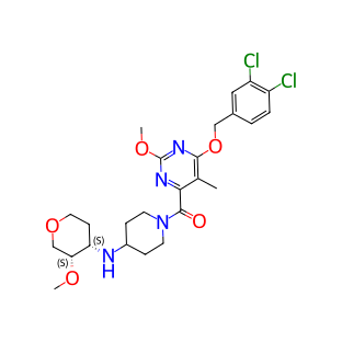 COc1nc(OCc2ccc(Cl)c(Cl)c2)c(C)c(C(=O)N2CCC(N[C@H]3CCOC[C@H]3OC)CC2)n1